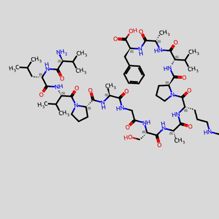 CC(C)C[C@H](NC(=O)[C@@H](N)C(C)C)C(=O)N[C@H](C(=O)N1CCC[C@H]1C(=O)N[C@@H](C)C(=O)NCC(=O)N[C@@H](CO)C(=O)N[C@@H](C)C(=O)N[C@@H](CCCNC(=N)N)C(=O)N1CCC[C@H]1C(=O)N[C@H](C(=O)N[C@@H](C)C(=O)N[C@@H](Cc1ccccc1)C(=O)O)C(C)C)C(C)C